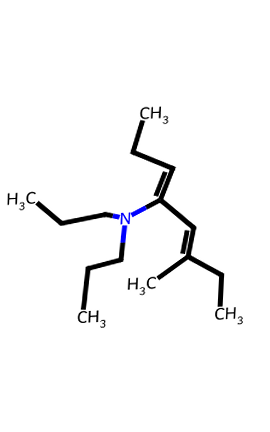 CC/C=C(/C=C(\C)CC)N(CCC)CCC